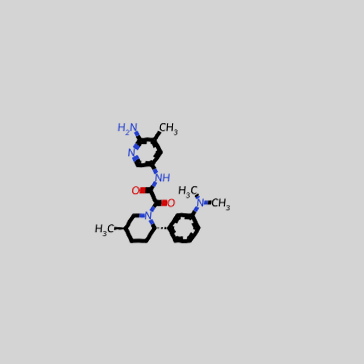 Cc1cc(NC(=O)C(=O)N2C[C@H](C)CC[C@H]2c2cccc(N(C)C)c2)cnc1N